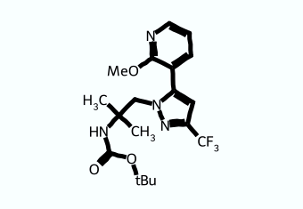 COc1ncccc1-c1cc(C(F)(F)F)nn1CC(C)(C)NC(=O)OC(C)(C)C